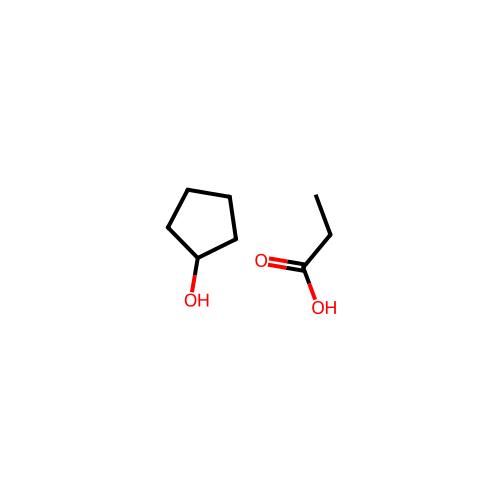 CCC(=O)O.OC1CCCC1